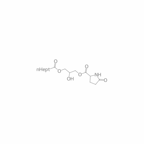 CCCCCCCC(=O)OCC(O)COC(=O)C1CCC(=O)N1